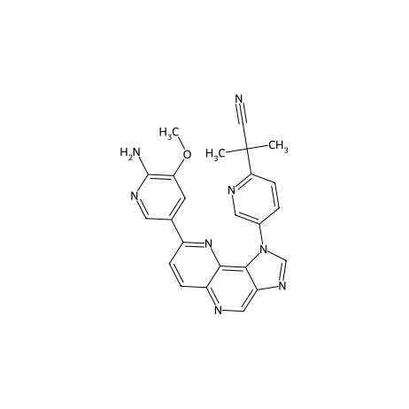 COc1cc(-c2ccc3ncc4ncn(-c5ccc(C(C)(C)C#N)nc5)c4c3n2)cnc1N